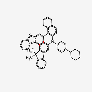 CC1(C)c2ccccc2-c2cc(N(c3ccc(C4CCCCC4)cc3)c3ccc4ccccc4c3-c3ccc4c(c3)sc3ccccc34)ccc21